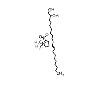 CCCCCCCCC=CCCCCCCCCC(O)CO.C[N+]1(C)CCCC1P(=O)=O